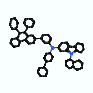 c1ccc(-c2ccc(N(c3cccc(-c4ccc5c(c4)c(-c4ccccc4)c(-c4ccccc4)c4ccccc45)c3)c3ccc4c5ccccc5n(-c5cccc6ccccc56)c4c3)cc2)cc1